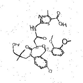 COc1cccc([C@H]2O[C@H](CC(=O)Nc3nc(C)c(C(=O)O)s3)C(=O)N(CC(C)(C)CO)c3ccc(Cl)cc32)c1OC